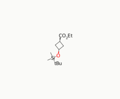 CCOC(=O)[C@H]1C[C@@H](O[Si](C)(C)C(C)(C)C)C1